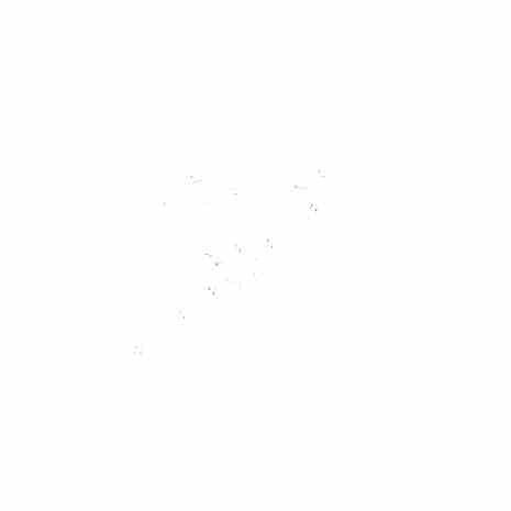 Nc1c(I)cc(C[C@@H](NC(=O)N2CCC(N3CCc4ccccc4NC3=O)CC2)C(=O)N2CCN(c3ccncc3)CC2)cc1C(F)(F)F